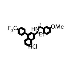 CC[C@@H](N[C@H](C)c1cccc(OC)c1)c1cc(-c2ccc(C(F)(F)F)cc2)c2ccccc2c1.Cl